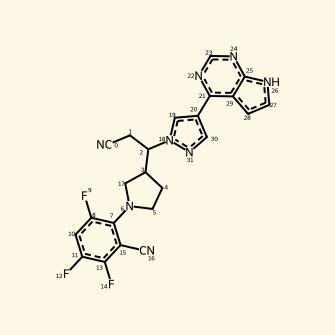 N#CCC(C1CCN(c2c(F)cc(F)c(F)c2C#N)C1)n1cc(-c2ncnc3[nH]ccc23)cn1